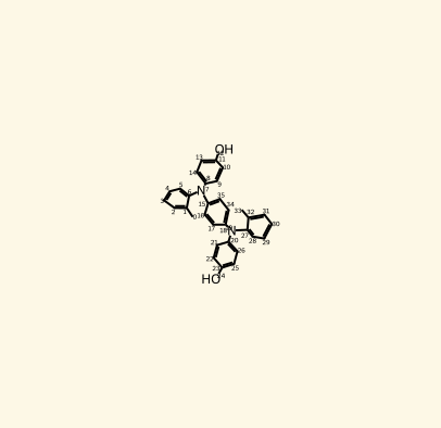 Cc1ccccc1N(c1ccc(O)cc1)c1ccc(N(c2ccc(O)cc2)c2ccccc2C)cc1